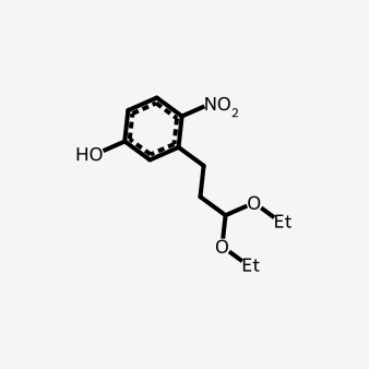 CCOC(CCc1cc(O)ccc1[N+](=O)[O-])OCC